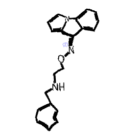 c1ccc(CNCCO/N=C2/c3ccccc3-n3cccc32)cc1